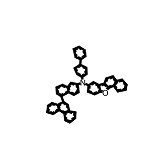 c1ccc(-c2ccc(N(c3ccc4c(-c5cc6ccccc6c6ccccc56)cccc4c3)c3ccc4oc5c6ccccc6ccc5c4c3)cc2)cc1